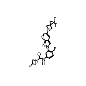 O=C(Nc1ccc(F)c(-n2cc3cc(N4CC5(C4)CC5(F)F)cnc3n2)c1)N1CC(F)C1